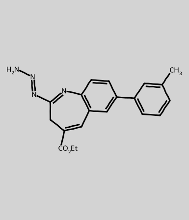 CCOC(=O)C1=Cc2cc(-c3cccc(C)c3)ccc2N=C(N=NN)C1